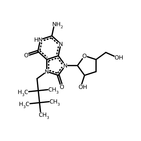 CC(C)(C)C(C)(C)Cn1c(=O)n(C2OC(CO)CC2O)c2nc(N)[nH]c(=O)c21